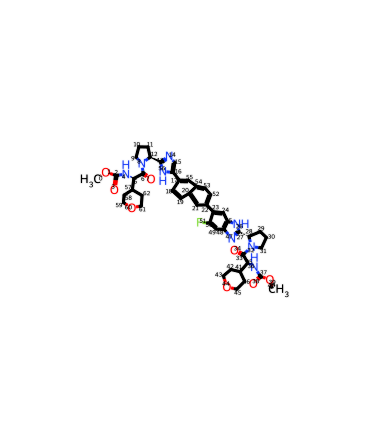 COC(=O)N[C@H](C(=O)N1CCC[C@H]1c1ncc(-c2ccc3cc(-c4cc5[nH]c([C@@H]6CCCN6C(=O)[C@@H](NC(=O)OC)C6CCOCC6)nc5cc4F)ccc3c2)[nH]1)C1CCOCC1